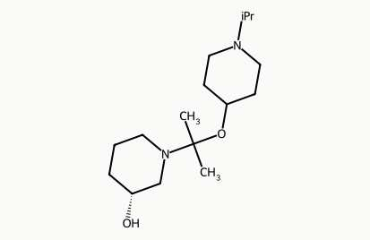 CC(C)N1CCC(OC(C)(C)N2CCC[C@@H](O)C2)CC1